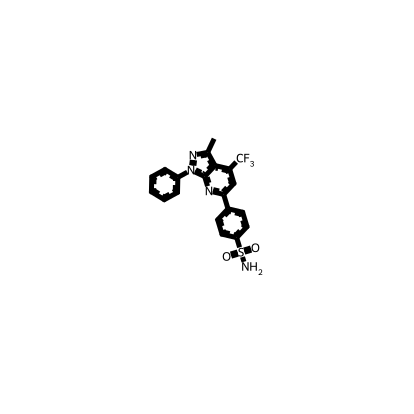 Cc1nn(-c2ccccc2)c2nc(-c3ccc(S(N)(=O)=O)cc3)cc(C(F)(F)F)c12